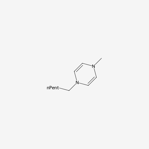 CCCCCCN1C=CN(C)C=C1